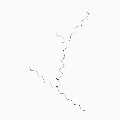 CCCCCCCCC(CCCCCCCC)OC(=O)CCCCCCC[N+](C)(CCO)CCCCCCCC(O)O